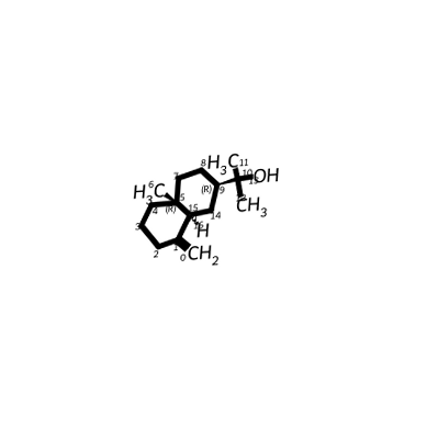 C=C1CCC[C@]2(C)CC[C@@H](C(C)(C)O)C[C@@H]12